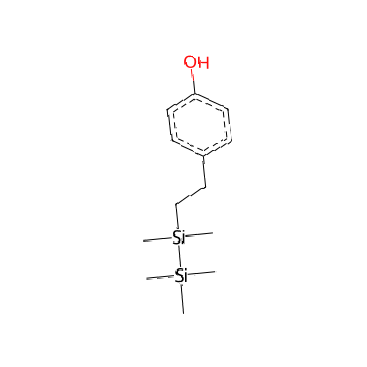 C[Si](C)(C)[Si](C)(C)CCc1ccc(O)cc1